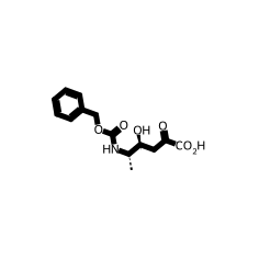 C[C@H](NC(=O)OCc1ccccc1)[C@@H](O)CC(=O)C(=O)O